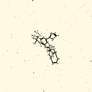 COC(C)(c1cc(-c2nccs2)c2oc(N3CC4CCCC(C3)N4C(=O)O)nc2c1)C(F)(F)F